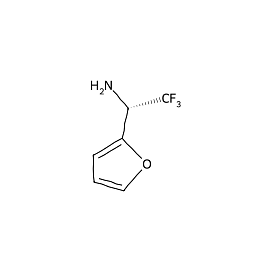 N[C@@H](c1ccco1)C(F)(F)F